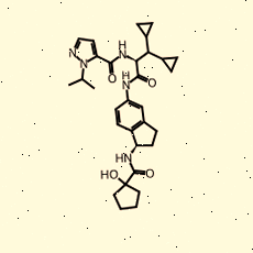 CC(C)n1nccc1C(=O)N[C@H](C(=O)Nc1ccc2c(c1)CC[C@H]2NC(=O)C1(O)CCCC1)C(C1CC1)C1CC1